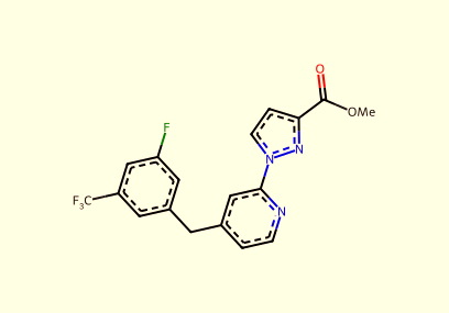 COC(=O)c1ccn(-c2cc(Cc3cc(F)cc(C(F)(F)F)c3)ccn2)n1